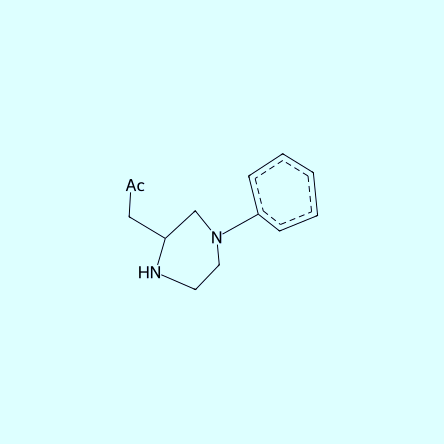 CC(=O)CC1CN(c2ccccc2)CCN1